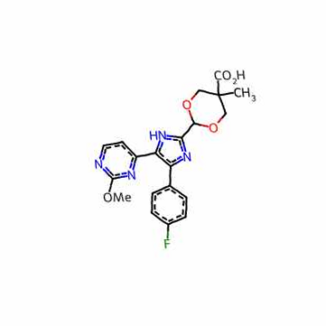 COc1nccc(-c2[nH]c(C3OCC(C)(C(=O)O)CO3)nc2-c2ccc(F)cc2)n1